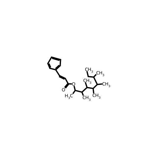 CCC(C)C(C)C(C)C(C)C(C)C(C)OC(=O)/C=C/c1ccccc1